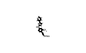 CCCCCCC#Cc1ccc(Nc2nc(-c3cccnc3)cs2)cc1C(F)(F)F